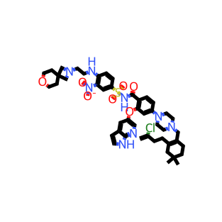 C=C(Cl)CCC1=C(CN2CCN(c3ccc(C(=O)NS(=O)(=O)c4ccc(NCCN5CC6(CCOCC6)C5)c([N+](=O)[O-])c4)c(Oc4cnc5[nH]ccc5c4)c3)CC2)CCC(C)(C)C1